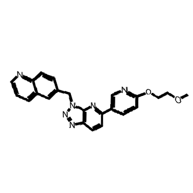 COCCOc1ccc(-c2ccc3nnn(Cc4ccc5ncccc5c4)c3n2)cn1